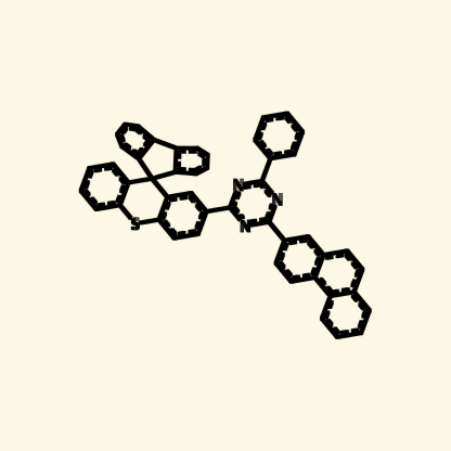 c1ccc(-c2nc(-c3ccc4c(c3)C3(c5ccccc5S4)c4ccccc4-c4ccccc43)nc(-c3ccc4c(ccc5ccccc54)c3)n2)cc1